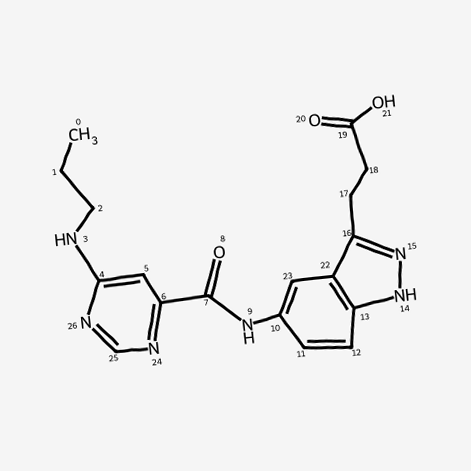 CCCNc1cc(C(=O)Nc2ccc3[nH]nc(CCC(=O)O)c3c2)ncn1